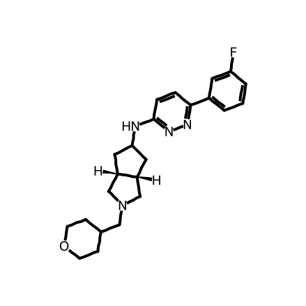 Fc1cccc(-c2ccc(NC3C[C@@H]4CN(CC5CCOCC5)C[C@@H]4C3)nn2)c1